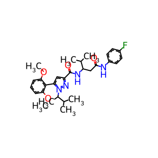 COc1cccc(OC)c1-c1cc(C(=O)NC(CC(=O)Nc2ccc(F)cc2)C(C)C)nn1C(C)C(C)C